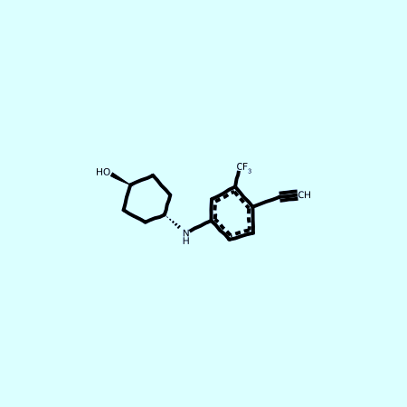 C#Cc1ccc(N[C@H]2CC[C@H](O)CC2)cc1C(F)(F)F